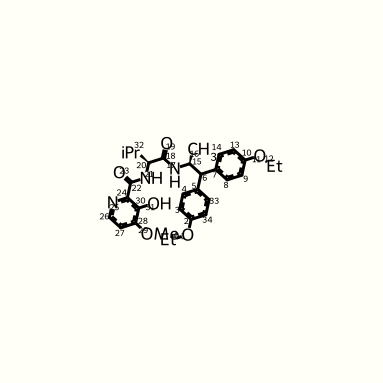 CCOc1ccc(C(c2ccc(OCC)cc2)[C@H](C)NC(=O)[C@@H](NC(=O)c2nccc(OC)c2O)C(C)C)cc1